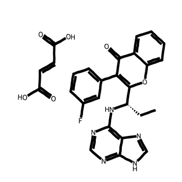 CC[C@H](Nc1ncnc2[nH]cnc12)c1oc2ccccc2c(=O)c1-c1cccc(F)c1.O=C(O)/C=C/C(=O)O